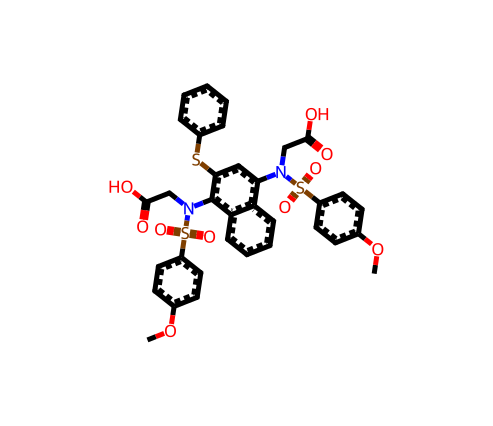 COc1ccc(S(=O)(=O)N(CC(=O)O)c2cc(Sc3ccccc3)c(N(CC(=O)O)S(=O)(=O)c3ccc(OC)cc3)c3ccccc23)cc1